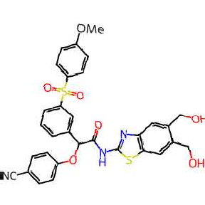 COc1ccc(S(=O)(=O)c2cccc(C(Oc3ccc(C#N)cc3)C(=O)Nc3nc4cc(CO)c(CO)cc4s3)c2)cc1